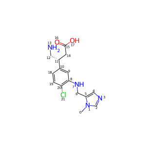 Cn1cncc1CNc1cc([C@H](CN)CC(=O)O)ccc1Cl